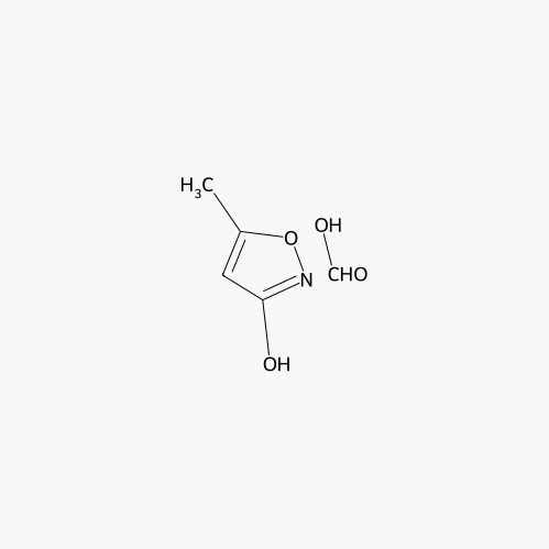 Cc1cc(O)no1.O=CO